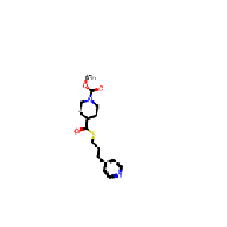 CC(C)(C)OC(=O)N1CCC(C(=O)SCCCc2ccncc2)CC1